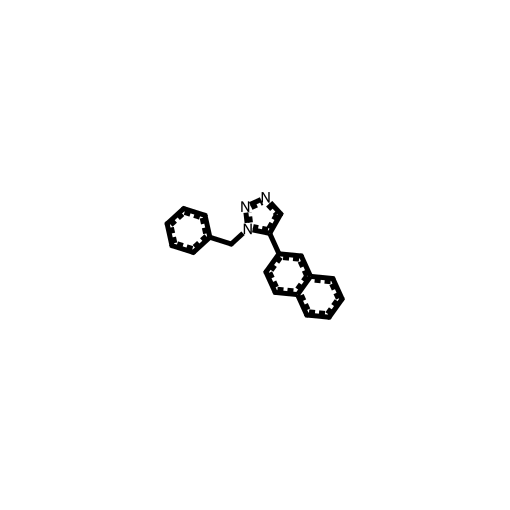 c1ccc(Cn2nncc2-c2ccc3ccccc3c2)cc1